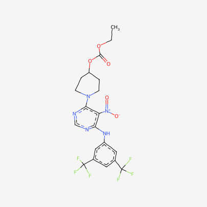 CCOC(=O)OC1CCN(c2ncnc(Nc3cc(C(F)(F)F)cc(C(F)(F)F)c3)c2[N+](=O)[O-])CC1